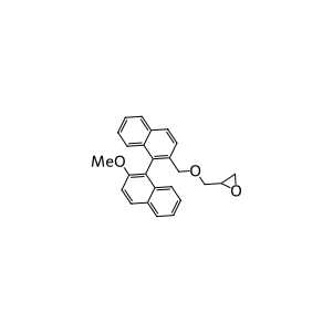 COc1ccc2ccccc2c1-c1c(COCC2CO2)ccc2ccccc12